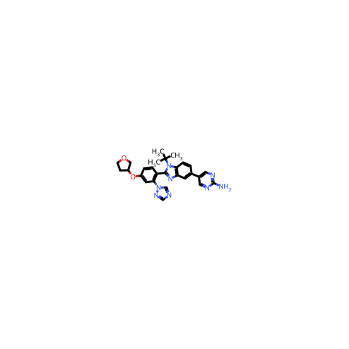 CC(C)(C)n1c(-c2ccc(OC3CCOC3)cc2-n2cncn2)nc2cc(-c3cnc(N)nc3)ccc21